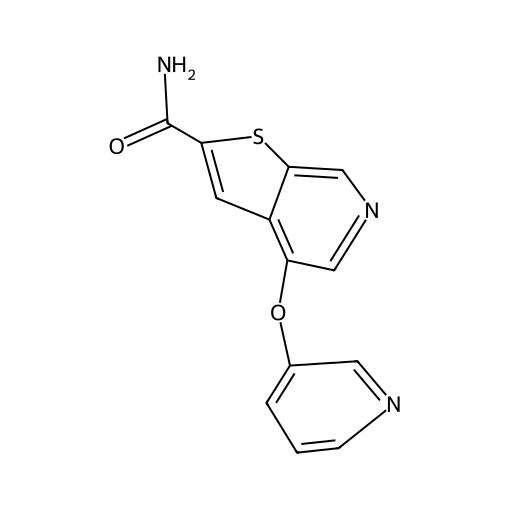 NC(=O)c1cc2c(Oc3cccnc3)cncc2s1